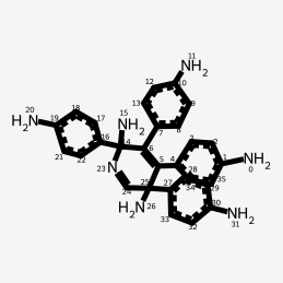 Nc1ccc(C2=C(c3ccc(N)cc3)C(N)(c3ccc(N)cc3)N=CC2(N)c2ccc(N)cc2)cc1